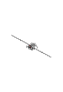 CCCCCCCC/C=C/CCCCCCCC(=O)C(O)C(N)(C(=O)CCCCCCC/C=C/CCCCCCCC)P(=O)(O)O